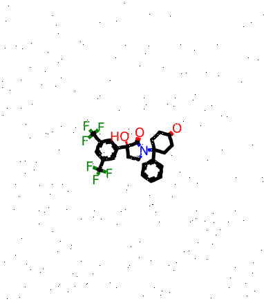 O=C1CCC(c2ccccc2)(N2CC[C@](O)(c3cc(C(F)(F)F)cc(C(F)(F)F)c3)C2=O)CC1